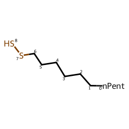 CCCCCCCCCCCSS